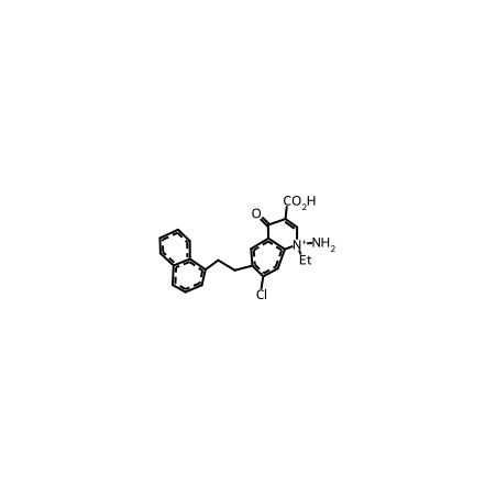 CC[N+]1(N)C=C(C(=O)O)C(=O)c2cc(CCc3cccc4ccccc34)c(Cl)cc21